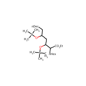 CCCCCCCCCCCC(CC(O[Si](C)(C)C)C(CCCCCC)C(=O)OCC)O[Si](C)(C)C